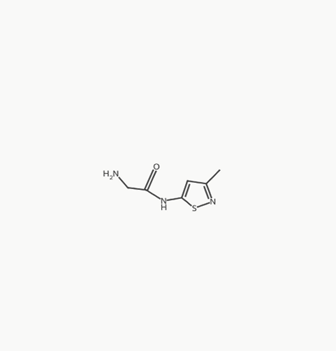 Cc1cc(NC(=O)CN)sn1